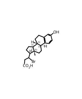 C[C@]12CC[C@@H]3c4ccc(O)cc4CC[C@H]3[C@@H]1CCC2C(Br)CC(=O)O